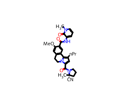 CCCc1cc(C(=O)N2CCC[C@]2(C)C#N)n2c1-c1cc(C(=O)Nc3cccn(C)c3=O)c(OC)cc1CC2